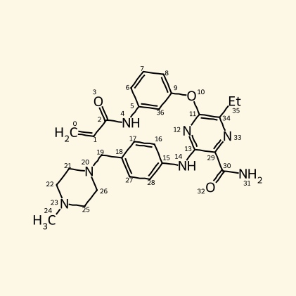 C=CC(=O)Nc1cccc(Oc2nc(Nc3ccc(CN4CCN(C)CC4)cc3)c(C(N)=O)nc2CC)c1